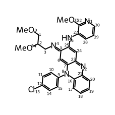 COCC(C/N=c1\cc2n(-c3ccc(Cl)cc3)c3ccccc3nc-2cc1Nc1cccnc1OC)OC